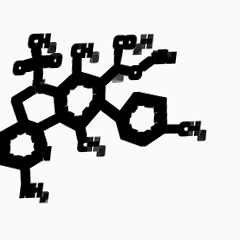 Cc1ccc(-c2c(C)c3c(c(C)c2[C@H](OC(C)(C)C)C(=O)O)N(S(C)(=O)=O)Cc2ccc(N)nc2-3)cc1